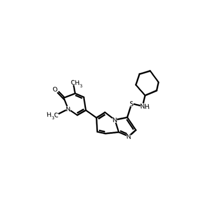 Cc1cc(-c2ccc3ncc(SNC4CCCCC4)n3c2)cn(C)c1=O